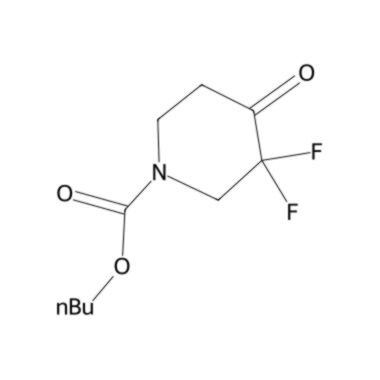 CCCCOC(=O)N1CCC(=O)C(F)(F)C1